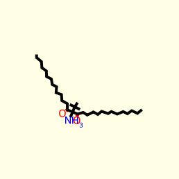 CCCCCCCCCCCCCC(=O)C(C)(C(=O)CCCCCCCCCCCCC)C(C)(C)C.N